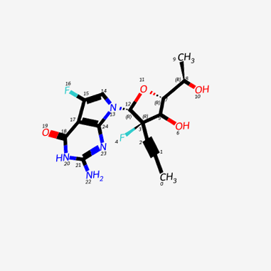 CC#C[C@@]1(F)C(O)[C@@H]([C@@H](C)O)O[C@H]1n1cc(F)c2c(=O)[nH]c(N)nc21